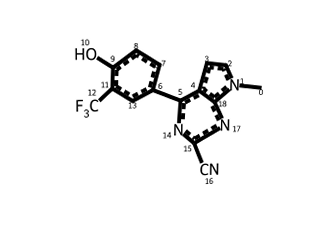 Cn1ccc2c(-c3ccc(O)c(C(F)(F)F)c3)nc(C#N)nc21